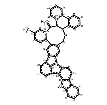 C=C1C2C(CCc3cc4c(cc3-c3ccc(C)c[n+]31)c1cccc3c5c6oc7ccccc7c6ccc5n4c13)c1ccccc1-c1cccc[n+]12